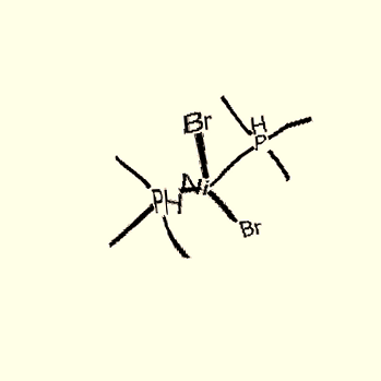 C[PH](C)(C)[Ni]([Br])([Br])[PH](C)(C)C